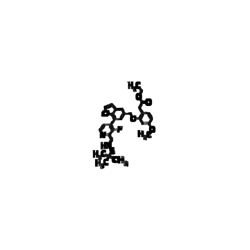 CCOC(=O)Cc1ccc(OC)cc1OCc1cc(-c2ccnc(CNSC(C)(C)C)c2F)c2occc2c1